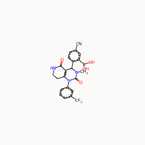 CN1C(=O)N(c2cccc(C(F)(F)F)c2)C2=C(C(=O)NCC2)C1c1ccc(C#N)cc1B(O)O